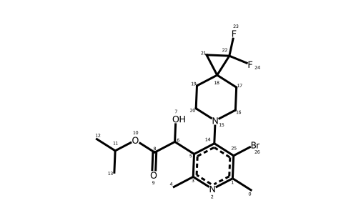 Cc1nc(C)c(C(O)C(=O)OC(C)C)c(N2CCC3(CC2)CC3(F)F)c1Br